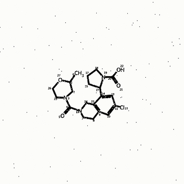 CC1CN(C(=O)N2CCc3cc(Cl)cc(C4CCCN4C(=O)O)c3C2)CCO1